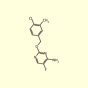 Cc1cc(COc2ncc(F)c(N)n2)ccc1Cl